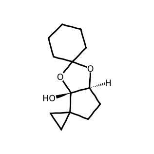 O[C@@]12OC3(CCCCC3)O[C@H]1CCC21CC1